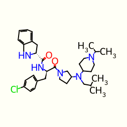 CC(C)CN(C1CCN(C(C)C)CC1)[C@H]1CCN(C(=O)[C@@H](Cc2ccc(Cl)cc2)NC(=O)[C@H]2Cc3ccccc3CN2)C1